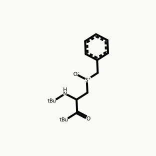 CC(C)(C)NC(C[S+]([O-])Cc1ccccc1)C(=O)C(C)(C)C